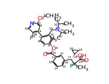 COc1cc(-c2ccc(OC(=O)c3cccc([C@H](C4CC4)[C@@](C)(F)C(=O)O)c3)cc2CN(C(C)C)C(C)C)c(F)cn1